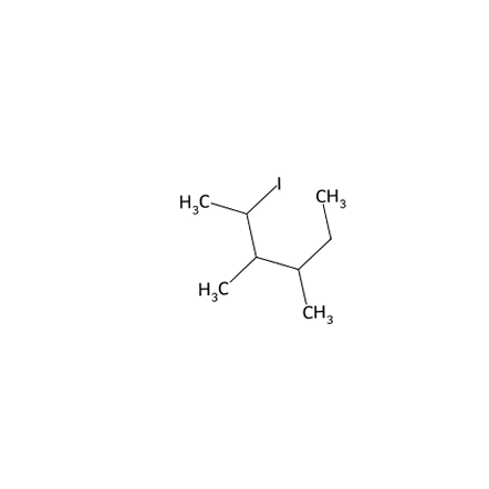 CCC(C)C(C)C(C)I